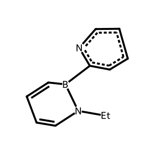 CCN1C=CC=CB1c1ccccn1